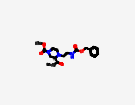 COC(=O)[C@@H]1CN(C(=O)OC(C)(C)C)CCN1CCNC(=O)OCc1ccccc1